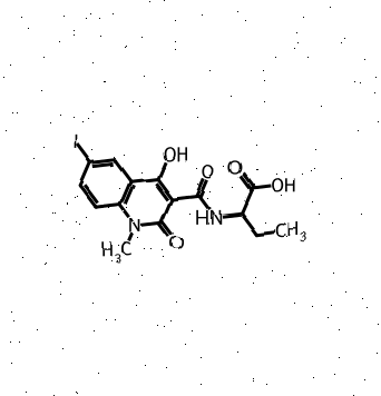 CCC(NC(=O)c1c(O)c2cc(I)ccc2n(C)c1=O)C(=O)O